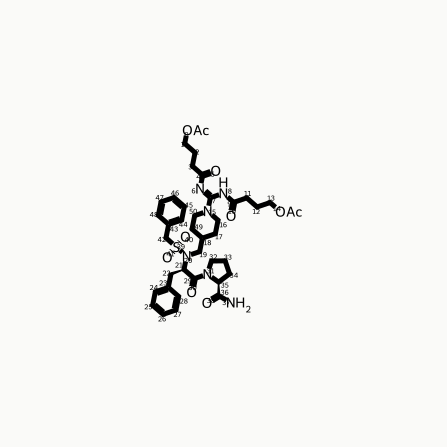 CC(=O)OCCCC(=O)N=C(NC(=O)CCCOC(C)=O)N1CCC(CN([C@H](Cc2ccccc2)C(=O)N2CCC[C@H]2C(N)=O)S(=O)(=O)Cc2ccccc2)CC1